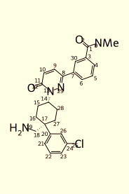 CNC(=O)c1cccc(-c2ccc(=O)n([C@H]3CC[C@](CN)(c4cccc(Cl)c4)CC3)n2)c1